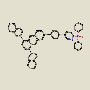 O=P(c1ccccc1)(c1ccccc1)c1ccc(-c2ccc(-c3ccc4cc5c(-c6ccc7ccccc7c6)ccc(-c6ccc7ccccc7c6)c5cc4c3)cc2)cn1